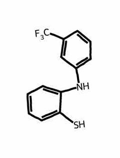 FC(F)(F)c1cccc(Nc2ccccc2S)c1